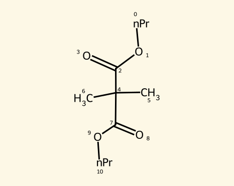 CCCOC(=O)C(C)(C)C(=O)OCCC